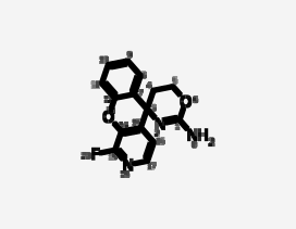 NC1=NC2(CCO1)c1ccccc1Oc1c2ccnc1F